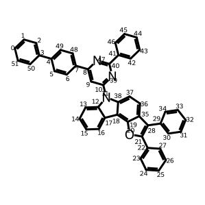 c1ccc(-c2ccc(-c3cc(-n4c5ccccc5c5c6oc(-c7ccccc7)c(-c7ccccc7)c6ccc54)nc(-c4ccccc4)n3)cc2)cc1